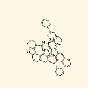 c1ccc(-c2ccc(-c3nc(-c4cccc(-c5ccccc5)c4)nc(-c4cccc5oc6ccc7ccc(-n8c9cc%10ccccc%10cc9c9c%10ccccc%10ccc98)cc7c6c45)n3)cc2)cc1